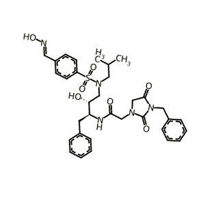 CC(C)CN(C[C@@H](O)[C@H](Cc1ccccc1)NC(=O)CN1CC(=O)N(Cc2ccccc2)C1=O)S(=O)(=O)c1ccc(C=NO)cc1